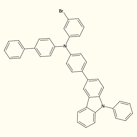 Brc1cccc(N(c2ccc(-c3ccccc3)cc2)c2ccc(-c3ccc4c(c3)c3ccccc3n4-c3ccccc3)cc2)c1